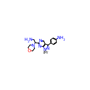 CC(C)n1nc(-c2ccc(N)cc2)c2cnc(C(CN)N3CCOCC3)nc21